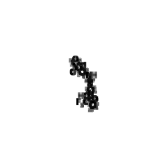 O=C(c1ccc(NC2CN(C3CCN(C(=O)C(O)(c4ccccc4)C(F)(F)F)CC3)C2)cc1Cl)N1CCOCC1